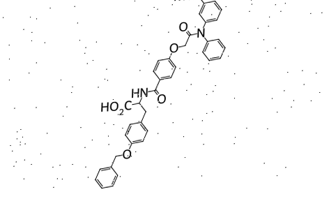 COc1cccc(N(C(=O)COc2ccc(C(=O)NC(Cc3ccc(OCc4ccccc4)cc3)C(=O)O)cc2)c2ccccc2)c1